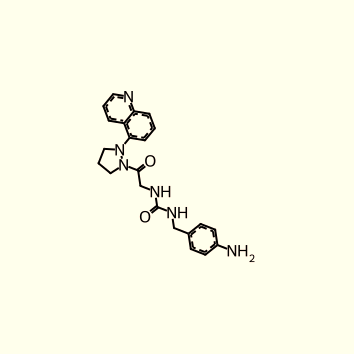 Nc1ccc(CNC(=O)NCC(=O)N2CCCN2c2cccc3ncccc23)cc1